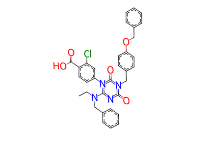 CCN(Cc1ccccc1)c1nc(=O)n(Cc2ccc(OCc3ccccc3)cc2)c(=O)n1-c1ccc(C(=O)O)c(Cl)c1